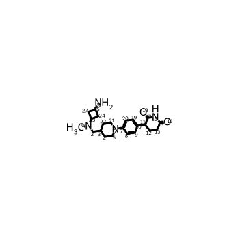 CN(CC1CCN(c2ccc(C3CCC(=O)NC3=O)cc2)CC1)C1CC(N)C1